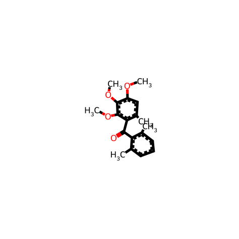 COc1cc(C)c(C(=O)c2c(C)cccc2C)c(OC)c1OC